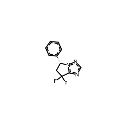 FC1(F)C[C@H](c2ccccc2)n2ncnc21